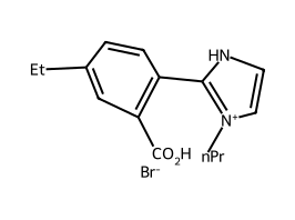 CCC[n+]1cc[nH]c1-c1ccc(CC)cc1C(=O)O.[Br-]